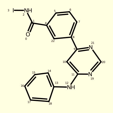 O=C(NI)c1cccc(-c2cc(Nc3ccccc3)ncn2)c1